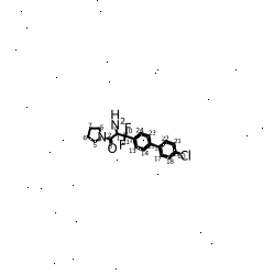 NC(C(=O)N1CCCC1)C(F)(F)c1ccc(-c2ccc(Cl)cc2)cc1